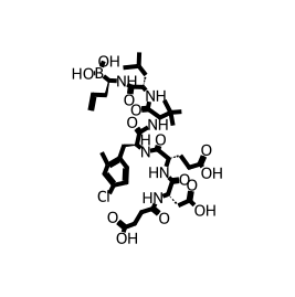 C=CC[C@H](NC(=O)[C@H](CC(C)C)NC(=O)[C@@H](NC(=O)[C@H](Cc1ccc(Cl)cc1C)NC(=O)[C@H](CCC(=O)O)NC(=O)[C@H](CC(=O)O)NC(=O)CCC(=O)O)C(C)(C)C)B(O)O